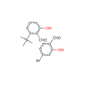 CC(C)c1ccc(C=O)c(O)c1.C[Si](C)(C)c1cccc(O)c1C=O